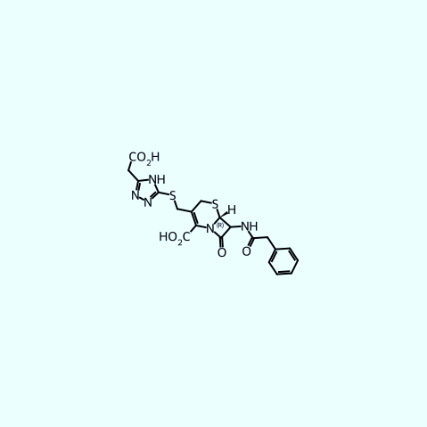 O=C(O)Cc1nnc(SCC2=C(C(=O)O)N3C(=O)C(NC(=O)Cc4ccccc4)[C@H]3SC2)[nH]1